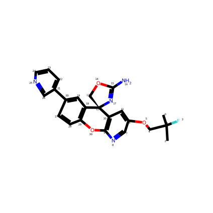 CC(C)(F)COc1cnc2c(c1)[C@]1(COC(N)=N1)c1cc(-c3cccnc3)ccc1O2